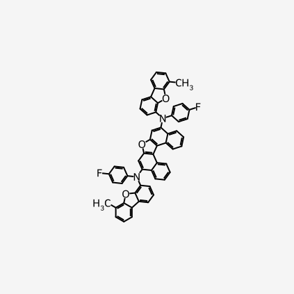 Cc1cccc2c1oc1c(N(c3ccc(F)cc3)c3cc4oc5cc(N(c6ccc(F)cc6)c6cccc7c6oc6c(C)cccc67)c6ccccc6c5c4c4ccccc34)cccc12